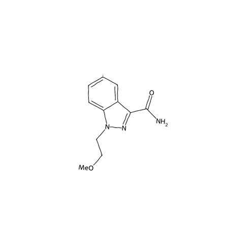 COCCn1nc(C(N)=O)c2c[c]ccc21